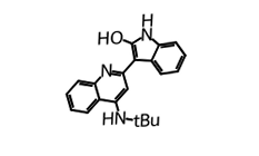 CC(C)(C)Nc1cc(-c2c(O)[nH]c3ccccc23)nc2ccccc12